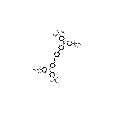 C[Si](C)(C)c1ccc(N(c2ccc(/C=C/c3ccc(-c4ccc(N(c5ccc([Si](C)(C)C)cc5)c5ccc([Si](C)(C)C)cc5)cc4)cc3)cc2)c2ccc([Si](C)(C)C)cc2)cc1